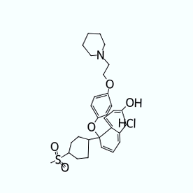 CS(=O)(=O)C1CCC(C2(Oc3ccc(OCCN4CCCCC4)cc3)C=CC=C3CC(O)=CC=C32)CC1.Cl